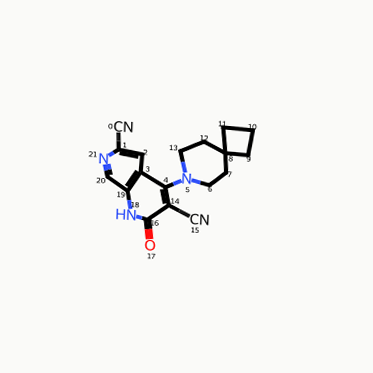 N#Cc1cc2c(N3CCC4(CCC4)CC3)c(C#N)c(=O)[nH]c2cn1